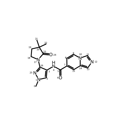 Cn1cc(NC(=O)c2ccn3cncc3c2)c(N2CCC(C)(C)C2=O)n1